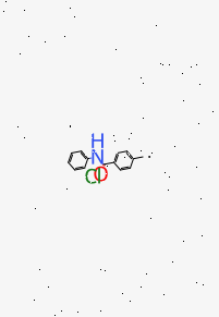 [CH2]c1ccc(C(=O)Nc2ccccc2Cl)cc1